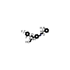 Nc1ccccc1NC(=O)/C=C/c1ccc(C(NCCO)C(=O)Nc2ccc(C(F)(F)F)cc2F)cc1